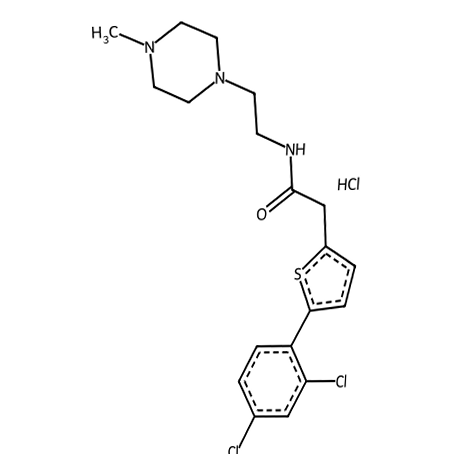 CN1CCN(CCNC(=O)Cc2ccc(-c3ccc(Cl)cc3Cl)s2)CC1.Cl